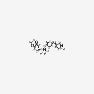 Cc1ccc(Oc2ccc(CN3CCC[C@H]3c3ccc4c(c3)OCCO4)cc2)cn1